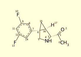 CC(=O)[C@@H]1NC[C@@]2(c3cc(F)cc(F)c3)C[C@@H]12